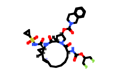 O=C(N[C@H]1CCCCC/C=C/[C@@H]2C[C@@]2(C(=O)NS(=O)(=O)C2CC2)NC(=O)[C@@H]2C[C@@H](OC(=O)N3CCc4ccccc4C3)CN2C1=O)OC(CF)CF